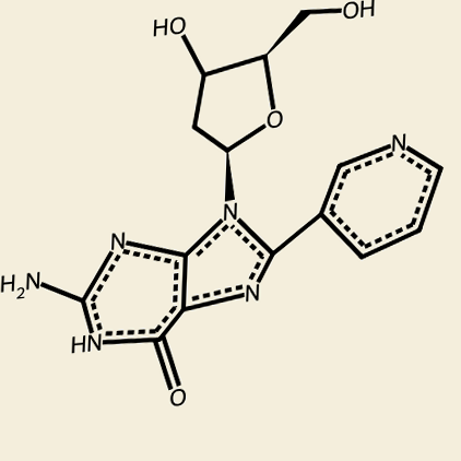 Nc1nc2c(nc(-c3cccnc3)n2[C@H]2CC(O)[C@@H](CO)O2)c(=O)[nH]1